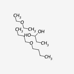 CCC(O)O.CCCCOCCCC.CCOCC